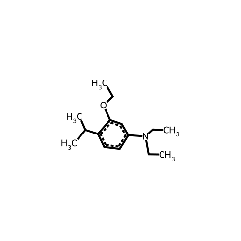 CCOc1cc(N(CC)CC)ccc1C(C)C